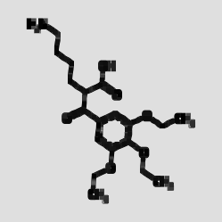 CCOc1cc(C(=O)C(CCCCN)C(=O)O)cc(OCC)c1OCC